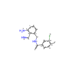 C=C(NCc1cccc(N)c1C=N)c1ccc(C)c(F)c1